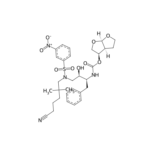 CC(C)(CCCC#N)CN(C[C@@H](O)[C@H](Cc1ccccc1)NC(=O)O[C@H]1CO[C@H]2OCC[C@H]21)S(=O)(=O)c1cccc([N+](=O)[O-])c1